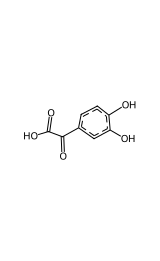 O=C(O)C(=O)c1ccc(O)c(O)c1